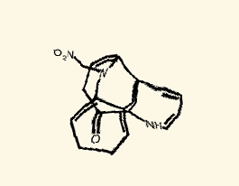 O=C1CC=C2N([N+](=O)[O-])C3=CCCC=C3C23C=CC=CNC13